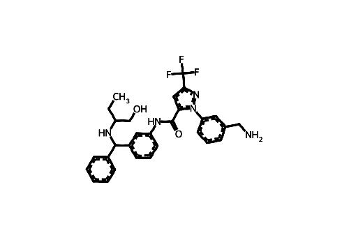 CCC(CO)NC(c1ccccc1)c1cccc(NC(=O)c2cc(C(F)(F)F)nn2-c2cccc(CN)c2)c1